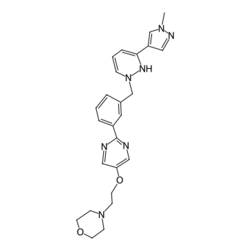 Cn1cc(C2=CC=CN(Cc3cccc(-c4ncc(OCCN5CCOCC5)cn4)c3)N2)cn1